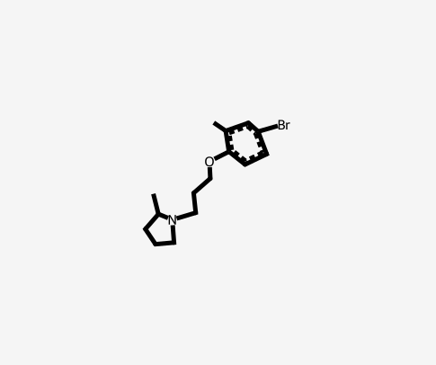 Cc1cc(Br)ccc1OCCCN1CCCC1C